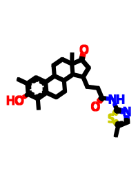 Cc1cnc(NC(=O)CCC2CC(=O)C3(C)CCC4c5cc(C)c(O)c(C)c5CCC4C23)s1